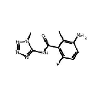 Cc1c(N)ccc(F)c1C(=O)Nc1nnnn1C